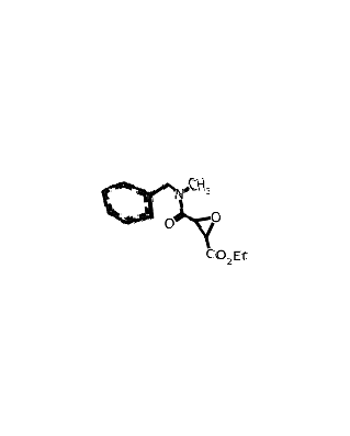 CCOC(=O)C1OC1C(=O)N(C)Cc1ccccc1